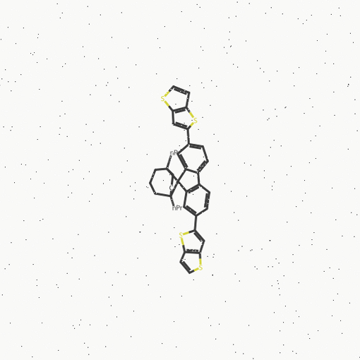 CCCC12CCCC(CCC)(CC1)C21c2cc(-c3cc4sccc4s3)ccc2-c2ccc(-c3cc4sccc4s3)cc21